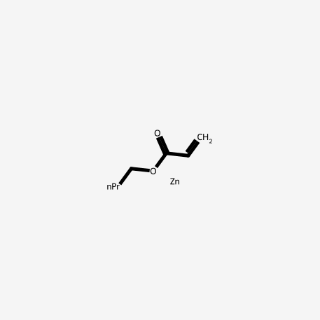 C=CC(=O)OCCCC.[Zn]